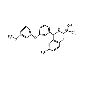 O[C@H](CNC(c1cccc(Oc2cccc(OC(F)(F)F)c2)c1)c1cc(C(F)(F)F)ccc1F)C(F)(F)F